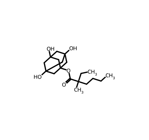 CCCCC(C)(CC)C(=O)OC12CC3(O)CC(O)(CC(O)(C3)C1)C2